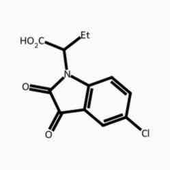 CCC(C(=O)O)N1C(=O)C(=O)c2cc(Cl)ccc21